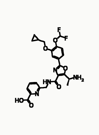 C[C@H](N)c1oc(-c2ccc(OC(F)F)c(OCC3CC3)c2)nc1C(=O)NCc1cccc(C(=O)O)n1